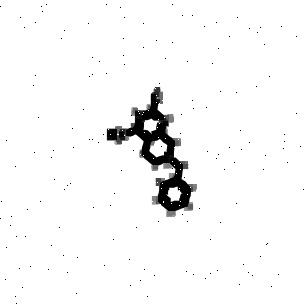 Cc1nc(Cl)nc2c1CCN(Cc1ccccc1)C2